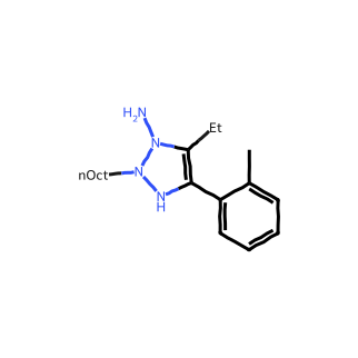 CCCCCCCCN1NC(c2ccccc2C)=C(CC)N1N